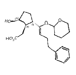 O=C(O)C[C@@H]1[C@@H](C(=CCCc2ccccc2)OC2CCCCO2)CC[C@@H]1O